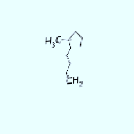 C=CCCC1CCC[C]1C